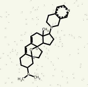 CN(C)C1CCC2=CC3=CCC4(C)C(N5CCc6ccncc6C5)CCC4[C@@]34CC[C@]2(C1)O4